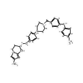 O=[N+]([O-])c1cn2c(n1)O[C@@H](COc1ccc(N3CCN(Cc4ccc(Oc5ccc(C(F)(F)F)cc5)cc4)CC3)cc1)CC2